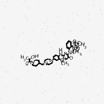 COc1cc(N2CCN(CC3CCN(C(=O)C(C)O)CC3)CC2)ccc1Nc1ncc(Cl)c(Nc2ccccc2N(C)S(C)(=O)=O)n1